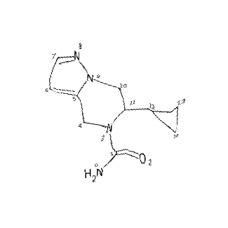 NC(=O)N1Cc2ccnn2CC1C1CC1